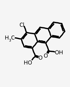 Cc1cc(C(=O)O)c2c(C(=O)O)c3ccccc3cc2c1Cl